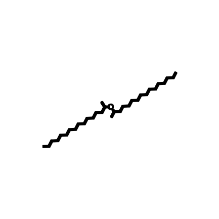 CCCCCCCCCCCCCCC(C)OC(C)CCCCCCCCCCCCCC